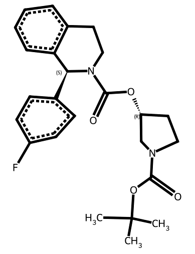 CC(C)(C)OC(=O)N1CC[C@@H](OC(=O)N2CCc3ccccc3[C@@H]2c2ccc(F)cc2)C1